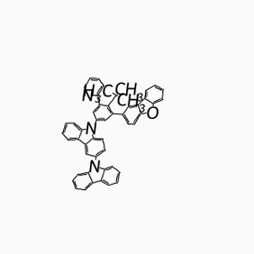 CC(C)(C)c1c(-c2ccc3oc4ccccc4c3c2)cc(-n2c3ccccc3c3cc(-n4c5ccccc5c5ccccc54)ccc32)cc1-c1ccccn1